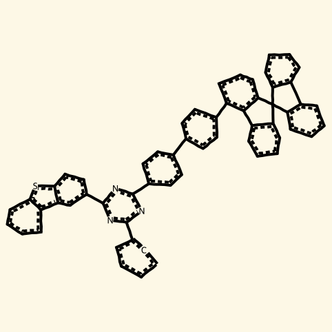 c1ccc(-c2nc(-c3ccc(-c4ccc(-c5cccc6c5-c5ccccc5C65c6ccccc6-c6ccccc65)cc4)cc3)nc(-c3ccc4sc5ccccc5c4c3)n2)cc1